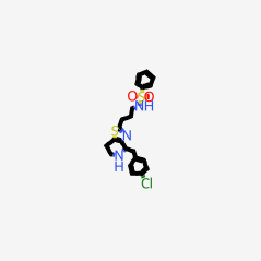 O=S(=O)(NCCCc1nc2c(s1)CCNC2Cc1ccc(Cl)cc1)c1ccccc1